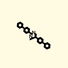 C1=C(c2ccc(-c3ccccc3)cc2)C2CN2C(c2ccc(-c3ccccc3)cc2)=N1